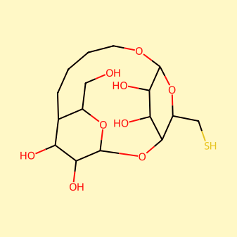 OCC1OC2OC3C(CS)OC(OCCCCC1C(O)C2O)C(O)C3O